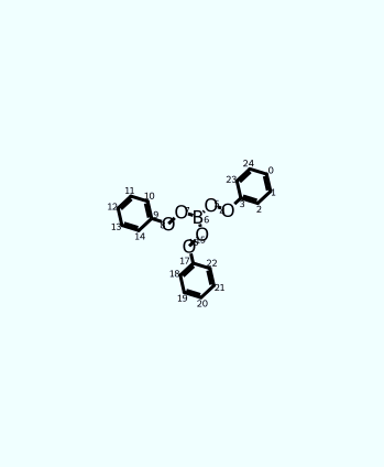 c1ccc(OOB(OOc2ccccc2)OOc2ccccc2)cc1